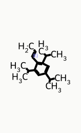 [CH2]/C=C/c1c(C(C)C)cc(C(C)C)cc1C(C)C